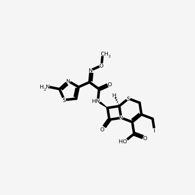 CO/N=C(\C(=O)N[C@@H]1C(=O)N2C(C(=O)O)=C(CI)CS[C@H]12)c1csc(N)n1